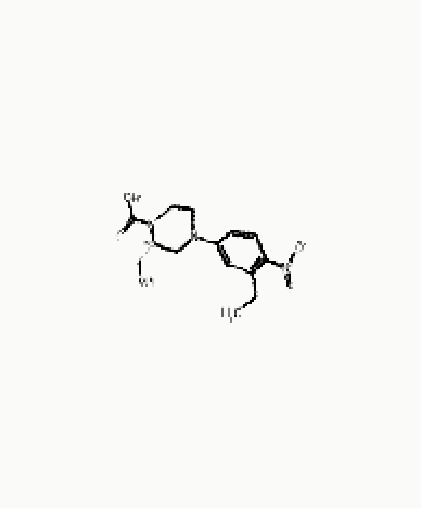 CCc1cc(N2CCN(C(=O)O)[C@@H](CO)C2)ccc1[N+](=O)[O-]